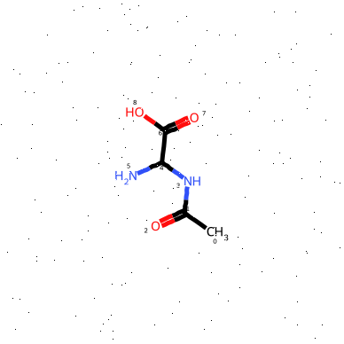 CC(=O)NC(N)C(=O)O